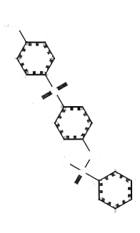 COc1ccc(S(=O)(=O)c2ccc(OP(C)(=O)c3ccccc3)cc2)cc1